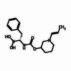 CC=CN1CCCC(OC(=O)N[C@@H](Cc2ccccc2)B(O)O)C1